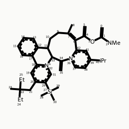 C=C(NC)OC(=C)/C1=C(\C)CCC2c3ccccc3-c3cc(CC(C)(CC)CC)c([Si](C)(C)C)c[n+]3C2C(=C)[n+]2ccc(C(C)C)cc21